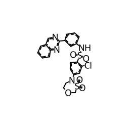 O=S(=O)(Nc1cccc(-c2ncc3ccccc3n2)c1)c1ccc(N2CCOCS2(=O)=O)cc1Cl